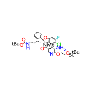 CNC(=O)c1cnc(OCCO[Si](C)(C)C(C)(C)C)c(N)c1-c1c(Cl)c(F)cc2c1C[C@@](CCCCNC(=O)OC(C)(C)C)(c1ccccc1)O2